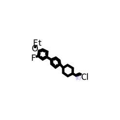 CCOc1ccc(-c2ccc(C3CCC(/C=C/Cl)CC3)cc2)cc1F